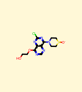 [O-][S+]1CCN(c2nc(Cl)nc3c(OCCO)ncnc23)CC1